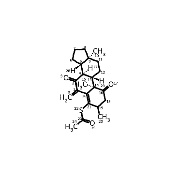 C=C1C(=O)[C@H]2[C@@H]3CCC[C@@]3(C)CC[C@@H]2[C@@]2(C)C(=O)CC(C)C(SC(C)=O)=C12